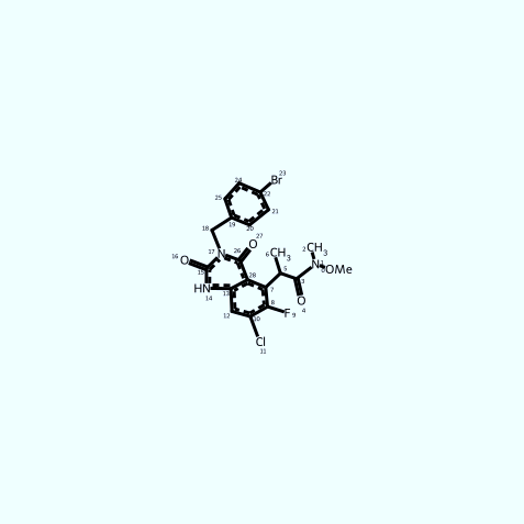 CON(C)C(=O)C(C)c1c(F)c(Cl)cc2[nH]c(=O)n(Cc3ccc(Br)cc3)c(=O)c12